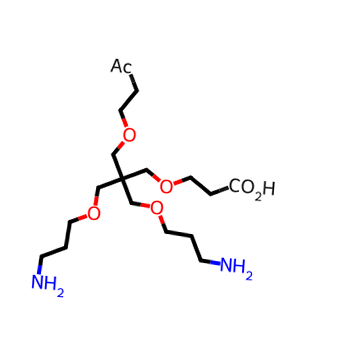 CC(=O)CCOCC(COCCCN)(COCCCN)COCCC(=O)O